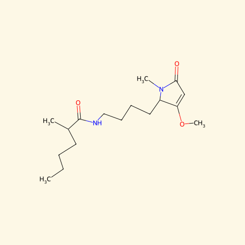 CCCCC(C)C(=O)NCCCCC1C(OC)=CC(=O)N1C